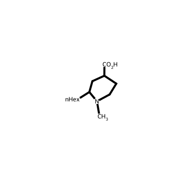 CCCCCCC1CC(C(=O)O)CCN1C